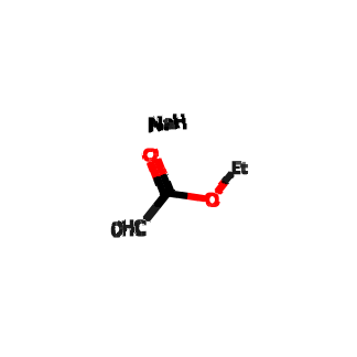 CCOC(=O)C=O.[NaH]